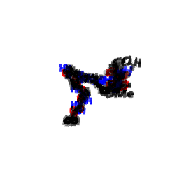 COc1ccc(C#CCNC2(C)CCN(C3CCN(c4nc([C@@](COCNC(=O)CNC(=O)[C@H](Cc5ccccc5)NC(=O)CNC(=O)CNC(=O)OCC5c6ccccc6-c6ccccc65)(OC5CC5)c5ccccc5)c5cc(-c6cn(C)c(=O)c7[nH]ccc67)ccc5n4)CC3)CC2)cc1N1CCC(=O)N(CNC(=O)CNC(=O)CCC(=O)O)C1=O